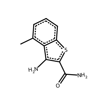 Cc1cccc2sc(C(N)=O)c(N)c12